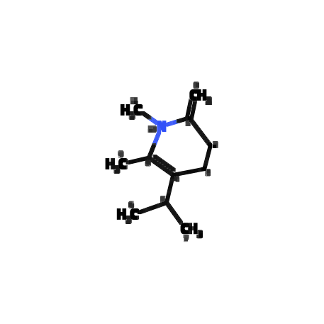 C=C1CCC(C(C)C)=C(C)N1C